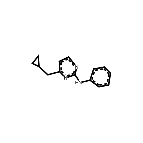 c1ccc(Nc2nccc(CC3CC3)n2)cc1